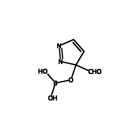 O=CC1(OB(O)O)C=CN=N1